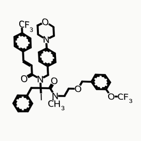 CN(CCOCc1cccc(OC(F)(F)F)c1)C(=O)C(I)(Cc1ccccc1)N(Cc1ccc(N2CCOCC2)cc1)C(=O)C=Cc1ccc(C(F)(F)F)cc1